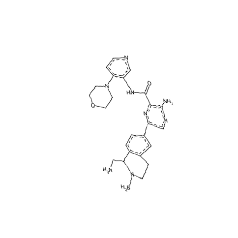 BN1CCc2cc(-c3cnc(N)c(C(=O)Nc4cnccc4N4CCOCC4)n3)ccc2C1CN